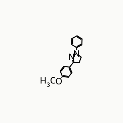 COc1ccc(C2=NN(c3ccccc3)CC2)cc1